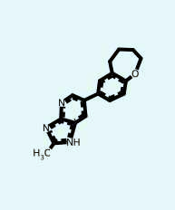 Cc1nc2ncc(-c3ccc4c(c3)CCCCO4)cc2[nH]1